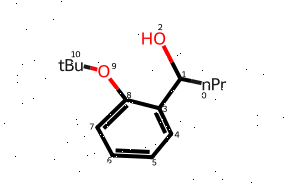 CCCC(O)c1ccccc1OC(C)(C)C